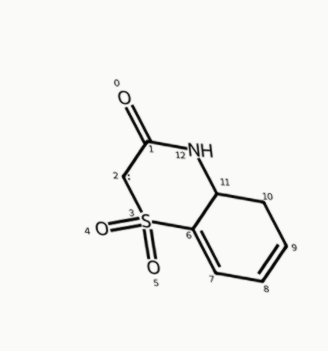 O=C1[C]S(=O)(=O)C2=CC=CCC2N1